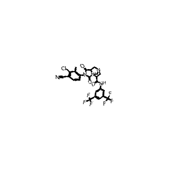 Cc1c(N2C(=O)C3CN4CC(C(=O)Nc5cc(C(F)(F)F)cc(C(F)(F)F)c5)[N+]3(C4)C2=O)ccc(C#N)c1Cl